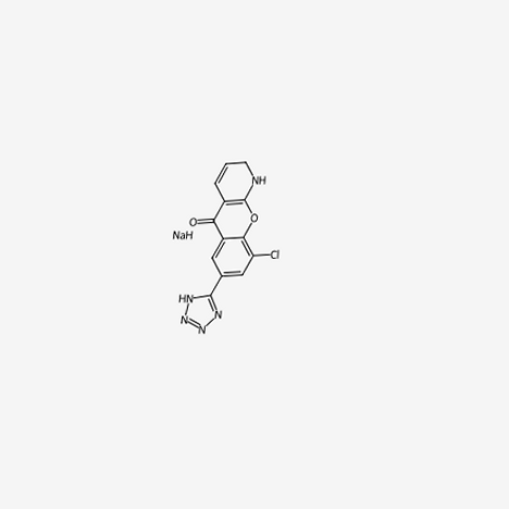 O=c1c2c(oc3c(Cl)cc(-c4nnn[nH]4)cc13)NCC=C2.[NaH]